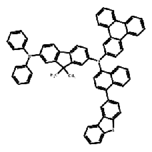 CC1(C)c2cc(N(c3ccccc3)c3ccccc3)ccc2-c2ccc(N(c3ccc4c5ccccc5c5ccccc5c4c3)c3ccc(-c4ccc5sc6ccccc6c5c4)c4ccccc34)cc21